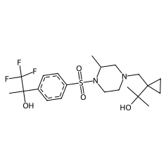 CC1CN(CC2(C(C)(C)O)CC2)CCN1S(=O)(=O)c1ccc(C(C)(O)C(F)(F)F)cc1